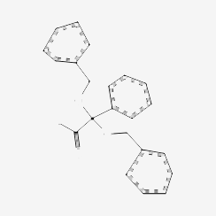 O=C(Cl)C(OCc1ccccc1)(OCc1ccccc1)c1ccccc1